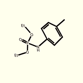 CCOP(=O)(Nc1ccc(C)cc1)OCC